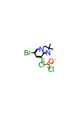 CC1(C)CN2C=C(Br)C=C(F)C2=N1.[O-][S+](Cl)Cl